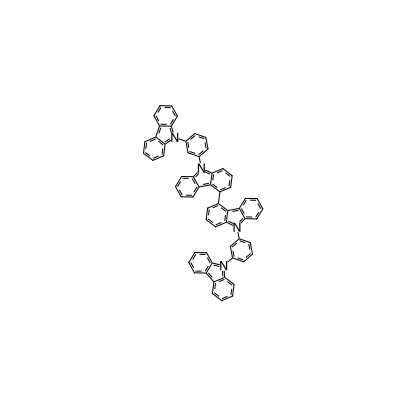 c1cc(-n2c3ccccc3c3ccccc32)cc(-n2c3ccccc3c3c(-c4cccc5c4c4ccccc4n5-c4cccc(-n5c6ccccc6c6ccccc65)c4)cccc32)c1